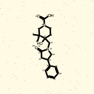 CC1(C)CN(C(=O)O)CCC1(O)CN1CC(c2ccccc2)CC1=O